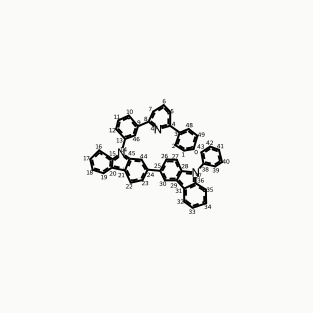 c1ccc(-c2cccc(-c3cccc(-n4c5ccccc5c5ccc(-c6ccc7c(c6)c6ccccc6n7-c6ccccc6)cc54)c3)n2)cc1